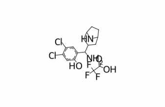 NC(c1cc(Cl)c(Cl)cc1O)C1CC2CCC(C1)N2.O=C(O)C(F)(F)F